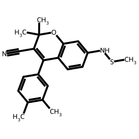 CSNc1ccc2c(c1)OC(C)(C)C(C#N)=C2c1ccc(C)c(C)c1